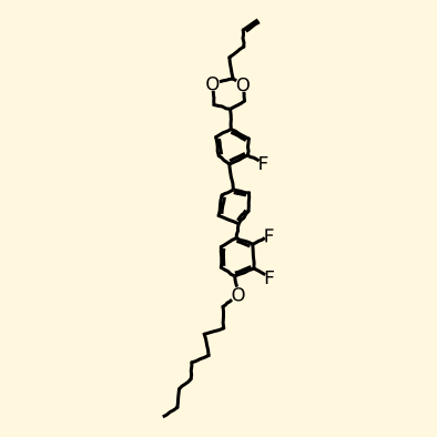 C=CCCC1OCC(c2ccc(-c3ccc(-c4ccc(OCCCCCCCCC)c(F)c4F)cc3)c(F)c2)CO1